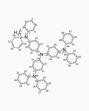 CC1(N(c2ccccc2)c2ccc(N(c3ccc(N(c4ccccc4)c4ccccc4)cc3)c3ccc(N(c4ccccc4)c4ccccc4)cc3)cc2)C=CC=CC1